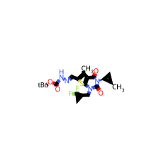 Cc1c(/C=N/NC(=O)OC(C)(C)C)sc2c1c(=O)n([C@H]1C[C@@H]1C)c(=O)n2CC1CC1(F)F